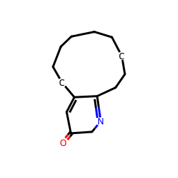 O=C1C=C2CCCCCCCCCC2=NC1